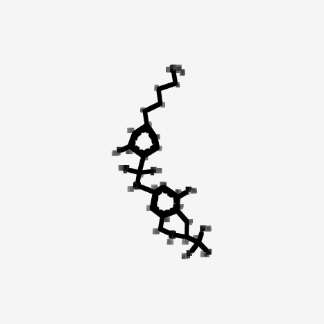 CCCCCc1ccc(C(F)(F)Oc2cc(F)c3c(c2)COC(C(F)(F)F)C3)c(F)c1